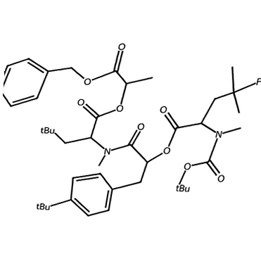 CC(OC(=O)C(CC(C)(C)C)N(C)C(=O)C(Cc1ccc(C(C)(C)C)cc1)OC(=O)C(CC(C)(C)F)N(C)C(=O)OC(C)(C)C)C(=O)OCc1ccccc1